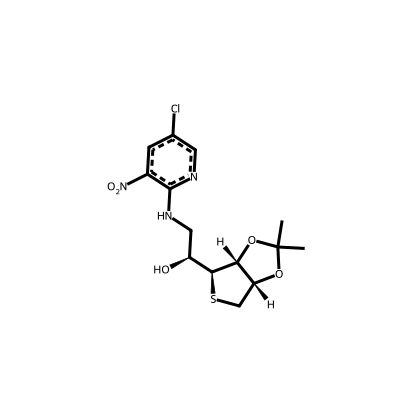 CC1(C)O[C@H]2[C@H]([C@@H](O)CNc3ncc(Cl)cc3[N+](=O)[O-])SC[C@H]2O1